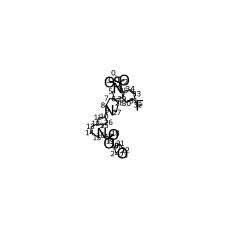 CS(=O)(=O)N1CC2(CCN(C3CC4CCCN(C(=O)O[C@H]5CCOC5)C4C3)CC2)c2cc(F)ccc21